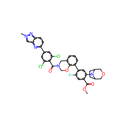 COC(=O)c1cc(F)c(-c2cccc3c2OCN(C(=O)c2c(Cl)cc(-c4ccc5nn(C)cc5n4)cc2Cl)C3)cc1N1C2CCC1COC2